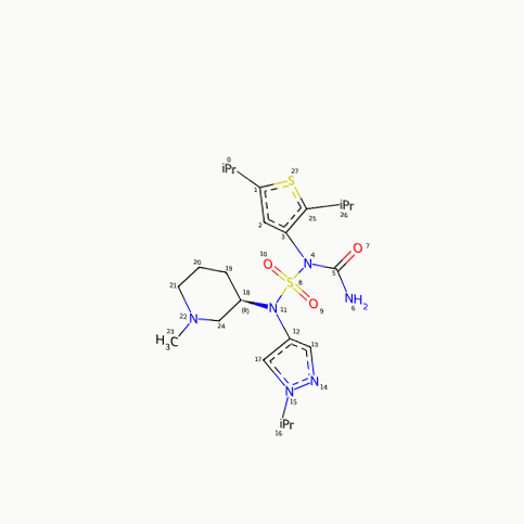 CC(C)c1cc(N(C(N)=O)S(=O)(=O)N(c2cnn(C(C)C)c2)[C@@H]2CCCN(C)C2)c(C(C)C)s1